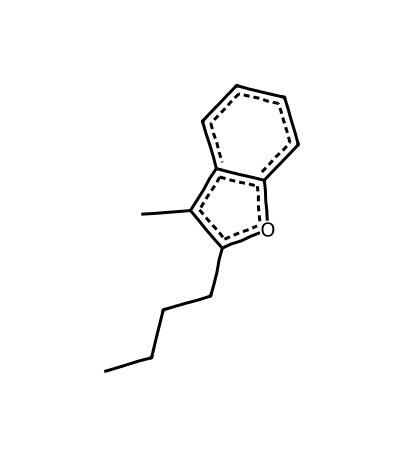 CCCCc1oc2ccccc2c1C